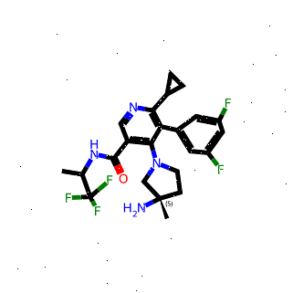 CC(NC(=O)c1cnc(C2CC2)c(-c2cc(F)cc(F)c2)c1N1CC[C@](C)(N)C1)C(F)(F)F